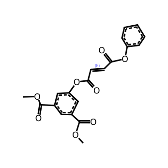 COC(=O)c1cc(OC(=O)/C=C/C(=O)Oc2ccccc2)cc(C(=O)OC)c1